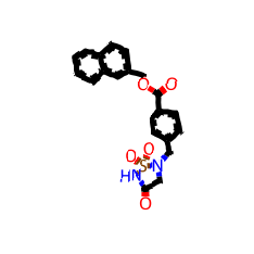 O=C1CN(Cc2ccc(C(=O)OCc3ccc4ccccc4c3)cc2)S(=O)(=O)N1